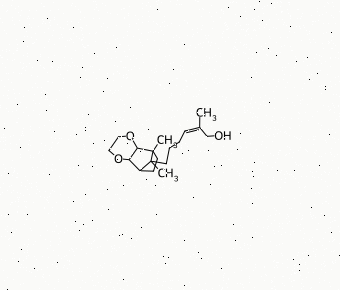 CC(=CCCCC1(C)C2CCC1(C)C1OCCOC21)CO